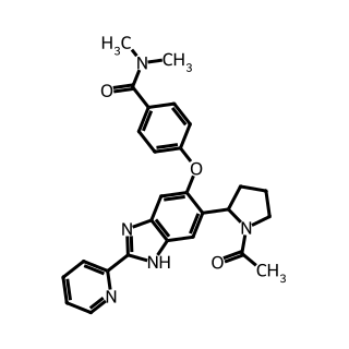 CC(=O)N1CCCC1c1cc2[nH]c(-c3ccccn3)nc2cc1Oc1ccc(C(=O)N(C)C)cc1